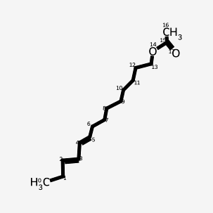 CC/C=C/C=C/CCCCCCCCOC(C)=O